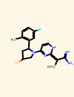 CCOC(=O)/C(C(=N)N)=C1\N=C(N2CC(P)CC2c2cc(F)ccc2C)C=CN1